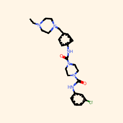 CCN1CCN(Cc2ccc(NC(=O)N3CCN(C(=O)Nc4cccc(Cl)c4)CC3)cc2)CC1